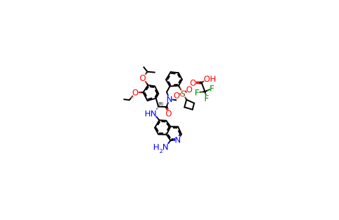 CCOc1cc([C@@H](Nc2ccc3c(N)nccc3c2)C(=O)N(C)Cc2ccccc2S(=O)(=O)C2CCC2)ccc1OC(C)C.O=C(O)C(F)(F)F